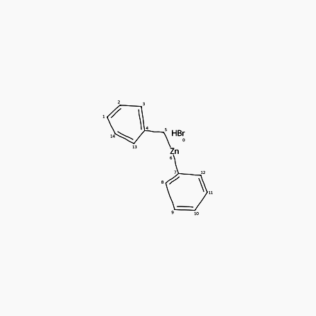 Br.c1ccc([CH2][Zn][c]2ccccc2)cc1